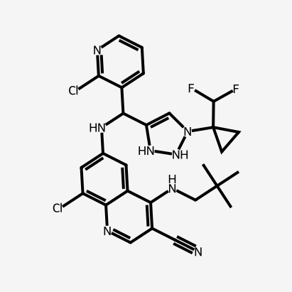 CC(C)(C)CNc1c(C#N)cnc2c(Cl)cc(NC(C3=CN(C4(C(F)F)CC4)NN3)c3cccnc3Cl)cc12